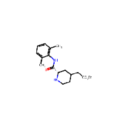 CCOC(=O)CC1CCN[C@H](C(=O)Nc2c(C)cccc2C)C1